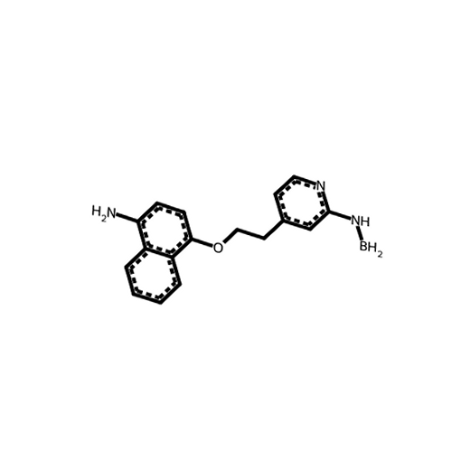 BNc1cc(CCOc2ccc(N)c3ccccc23)ccn1